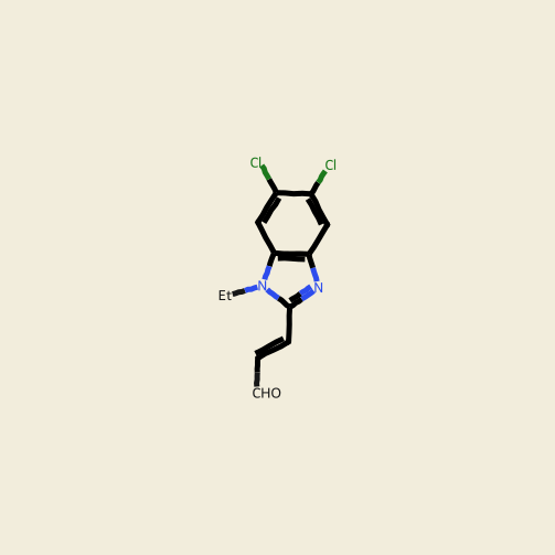 CCn1c(/C=C/C=O)nc2cc(Cl)c(Cl)cc21